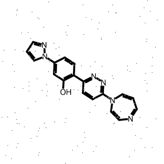 Oc1cc(-n2cccn2)ccc1-c1ccc(N2C=CC=NC=C2)nn1